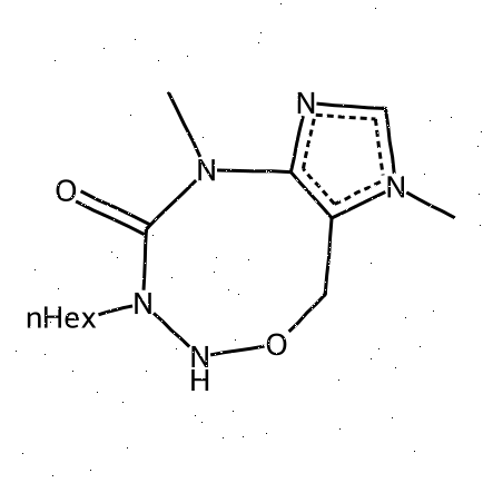 CCCCCCN1NOCc2c(ncn2C)N(C)C1=O